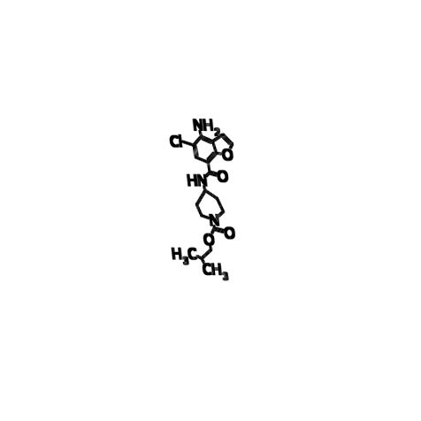 CC(C)COC(=O)N1CCC(NC(=O)c2cc(Cl)c(N)c3ccoc23)CC1